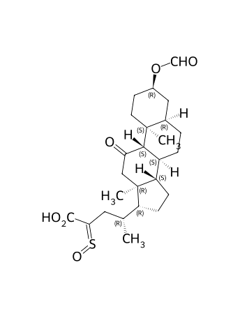 C[C@H](CC(=S=O)C(=O)O)[C@H]1CC[C@H]2[C@@H]3CC[C@@H]4C[C@H](OC=O)CC[C@]4(C)[C@H]3C(=O)C[C@]12C